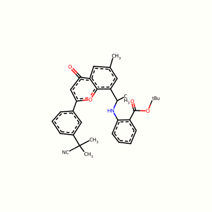 Cc1cc(C(C)Nc2ccccc2C(=O)OC(C)(C)C)c2oc(-c3cccc(C(C)(C)C#N)c3)cc(=O)c2c1